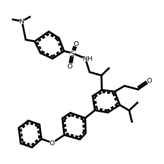 CC(C)c1cc(-c2ccc(Oc3ccccc3)cc2)cc(C(C)CNS(=O)(=O)c2ccc(CN(C)C)cc2)c1CC=O